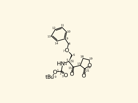 CC(C)(C)OC(=O)N[C@@H](COCc1ccccc1)C(=O)C1CCOC1=O